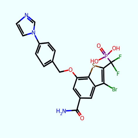 NC(=O)c1cc(OCc2ccc(-n3ccnc3)cc2)c2sc(C(F)(F)P(=O)(O)O)c(Br)c2c1